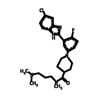 CN(C)CCCN(C)C(=O)C1CCN(c2ccc(F)c(-c3nc4cc(Cl)ccc4[nH]3)c2)CC1